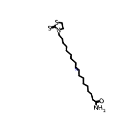 NC(=O)CCCCCCC/C=C/CCCCCCCCN1CCSC1=S